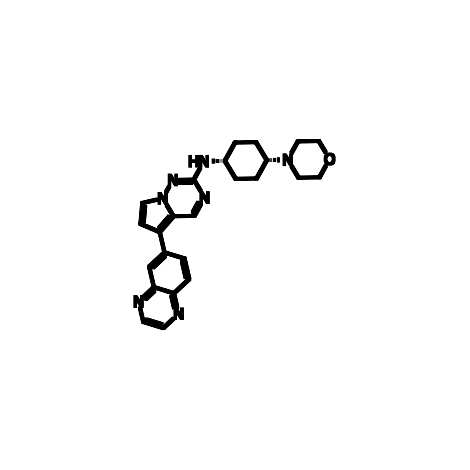 c1cnc2cc(-c3ccn4nc(N[C@H]5CC[C@@H](N6CCOCC6)CC5)ncc34)ccc2n1